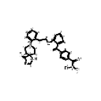 CCN(CC)C(=O)c1ccc(C(=O)c2ccccc2OCCc2ccccc2N2CCC3(CC2)NCNC3=O)cc1